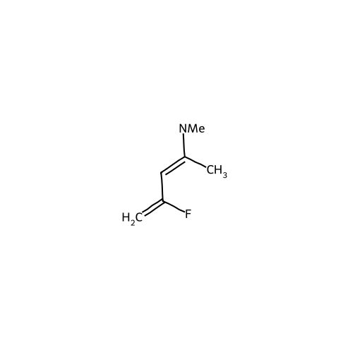 C=C(F)/C=C(\C)NC